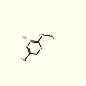 CCCCC1=NN=C(NN)SC1.Cl